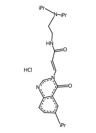 CC(C)c1ccc2ncn(C=CC(=O)NCCN(C(C)C)C(C)C)c(=O)c2c1.Cl